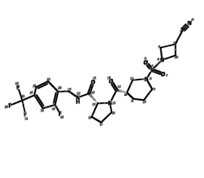 N#CC1CN(S(=O)(=O)N2CCC[C@H](C(=O)N3CCC[C@@H]3C(=O)NCc3ccc(C(F)(F)F)cc3F)C2)C1